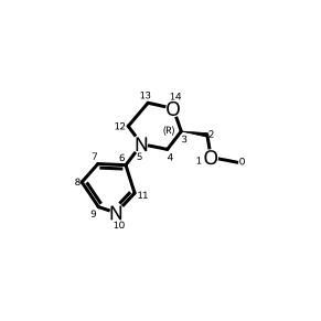 COC[C@H]1CN(c2cccnc2)CCO1